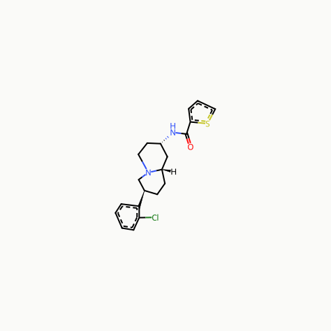 O=C(N[C@H]1CCN2C[C@H](c3ccccc3Cl)CC[C@H]2C1)c1cccs1